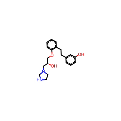 Oc1cccc(CCc2ccccc2OC[C@@H](O)CN2CCNC2)c1